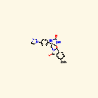 COc1ccc2c(c1)C(=O)N(C[C@@]1(c3ccc(-n4ccnc4)cc3)NC(=O)NC1=O)C2